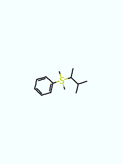 CC(C)C(C)S(C)(C)c1ccccc1